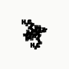 CCCC[C]1([Zr][C]2(CCCC)C=CC=C2)C=CC=C1.[Zr]